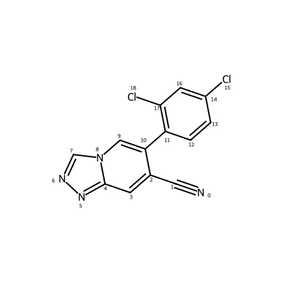 N#Cc1cc2nncn2cc1-c1ccc(Cl)cc1Cl